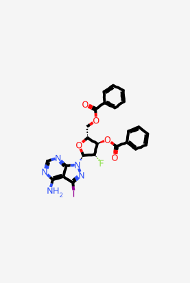 Nc1ncnc2c1c(I)nn2[C@@H]1O[C@H](COC(=O)c2ccccc2)[C@@H](OC(=O)c2ccccc2)[C@@H]1F